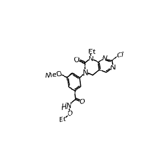 CCONC(=O)c1cc(OC)cc(N2Cc3cnc(Cl)nc3N(CC)C2=O)c1